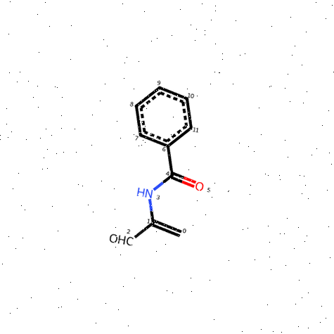 C=C(C=O)NC(=O)c1ccccc1